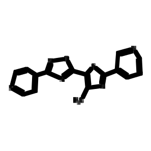 Cc1nc(-c2cccnc2)sc1-c1nc(-c2ccncc2)no1